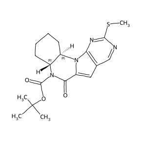 CSc1ncc2cc3n(c2n1)[C@@H]1CCCC[C@H]1N(C(=O)OC(C)(C)C)C3=O